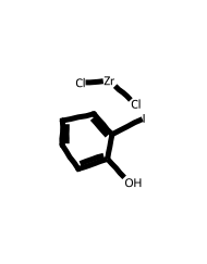 Oc1ccccc1I.[Cl][Zr][Cl]